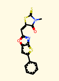 CN1C(=O)/C(=C\c2nc3sc(-c4ccccc4)cc3o2)SC1=S